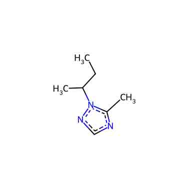 CCC(C)n1ncnc1C